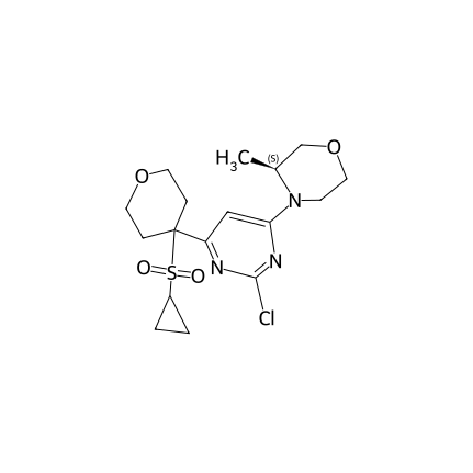 C[C@H]1COCCN1c1cc(C2(S(=O)(=O)C3CC3)CCOCC2)nc(Cl)n1